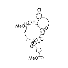 COC(=O)N1CC[C@@H](C(=O)NS2(=O)=NC(=O)c3ccc4c(c3)N(Cc3ccc(Cl)cc3CCCCO4)C[C@@H]3CC[C@H]3[C@@H](OC)/C=C/C[C@H](C)C2)C1